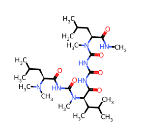 CNC(=O)[C@H](CC(C)C)N(C)C(=O)NC(=O)NC(=O)[C@@H](C(C)C(C)C)N(C)C(=O)NC(=O)[C@H](CC(C)C)N(C)C